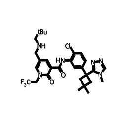 Cn1cnnc1C1(c2ccc(Cl)c(NC(=O)c3cc(CNCC(C)(C)C)cn(CC(F)(F)F)c3=O)c2)CC(C)(C)C1